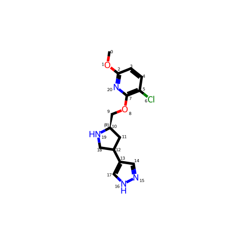 COc1ccc(Cl)c(OC[C@H]2CC(c3cn[nH]c3)CN2)n1